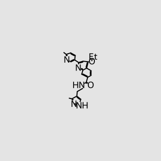 CCOc1cc(-c2ccc(C)nc2)nc2cc(C(=O)NCCc3c[nH]nc3C)ccc12